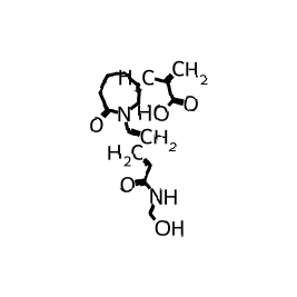 C=C(C)C(=O)O.C=CC(=O)NCO.C=CN1CCCCCC1=O